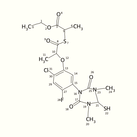 CCOC(=O)C(C)SC(=O)C(C)Oc1cc(N2C(=O)N(C)C(S)N(C)C2=O)c(F)cc1Cl